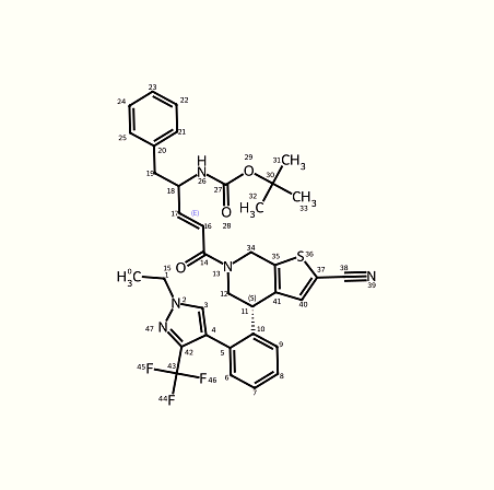 CCn1cc(-c2ccccc2[C@@H]2CN(C(=O)/C=C/C(Cc3ccccc3)NC(=O)OC(C)(C)C)Cc3sc(C#N)cc32)c(C(F)(F)F)n1